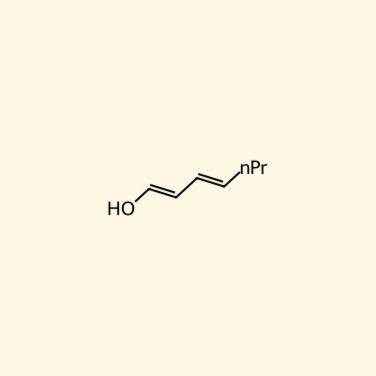 CCC/C=C/C=C/O